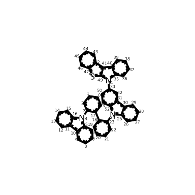 c1ccc(-n2c3ccccc3c3ccccc32)c(-c2ccccc2-n2c3ccccc3c3cc(-n4c5ccccc5c5c6ccccc6sc54)ccc32)c1